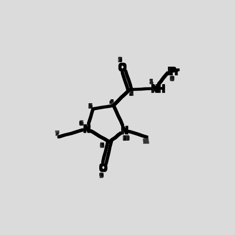 CC(C)NC(=O)C1CN(C)C(=O)N1C